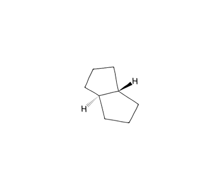 C1C[C@H]2CCC[C@@H]2C1